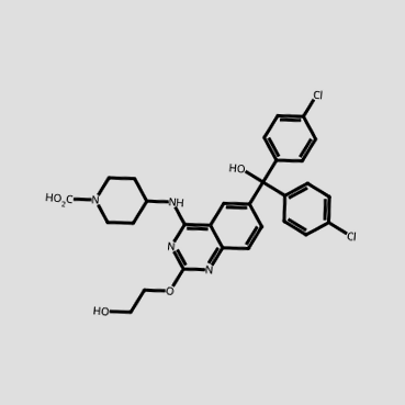 O=C(O)N1CCC(Nc2nc(OCCO)nc3ccc(C(O)(c4ccc(Cl)cc4)c4ccc(Cl)cc4)cc23)CC1